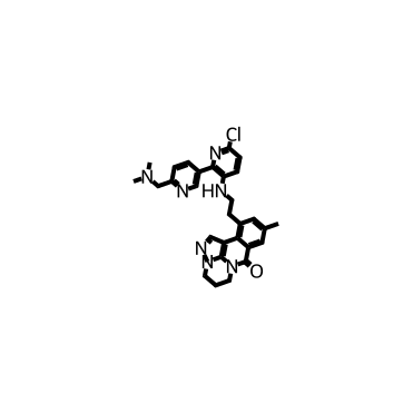 Cc1cc(CCNc2ccc(Cl)nc2-c2ccc(CN(C)C)nc2)c2c(c1)c(=O)n1c3c2cnn3CCC1